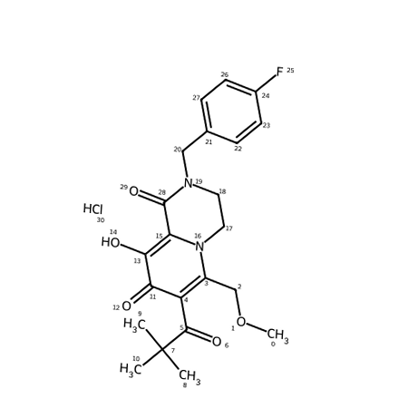 COCc1c(C(=O)C(C)(C)C)c(=O)c(O)c2n1CCN(Cc1ccc(F)cc1)C2=O.Cl